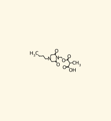 CCCCN1CC(=O)N(COC(=O)C(C)C(=O)O)C(=O)C1